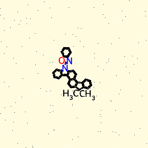 CC1(C)c2ccccc2-c2c1ccc1c2ccc2c1c1ccccc1n2-c1nc2ccccc2o1